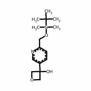 CC(C)(C)[Si](C)(C)OCc1ccc(C2(O)COC2)cn1